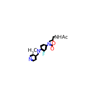 CC(=O)NCC1CN(c2ccc(N(C)Cc3ccncc3)c(F)c2)C(=O)O1